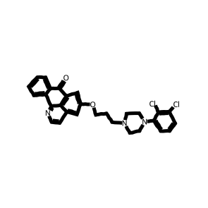 O=C1c2ccccc2-c2nccc3cc(OCCCN4CCN(c5cccc(Cl)c5Cl)CC4)cc1c23